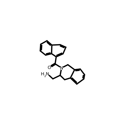 NCC1Cc2ccccc2CN1C(=O)c1cccc2ccccc12